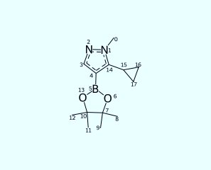 Cn1ncc(B2OC(C)(C)C(C)(C)O2)c1C1CC1